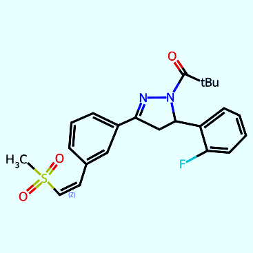 CC(C)(C)C(=O)N1N=C(c2cccc(/C=C\S(C)(=O)=O)c2)CC1c1ccccc1F